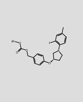 Cc1ccc(N2CC[C@@H](Oc3ccc(COC(=O)OC(C)C)cc3)C2)c(F)c1